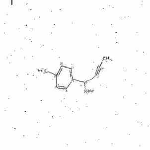 CC#CC(NC)c1ccc(C)cc1